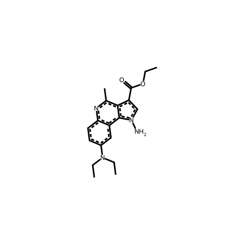 CCOC(=O)c1cn(N)c2c1c(C)nc1ccc(N(CC)CC)cc12